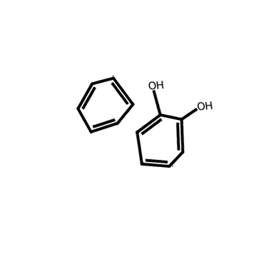 Oc1c[c]ccc1O.[c]1ccccc1